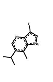 Cc1c(C(C)C)cnc2c(F)c[nH]c12